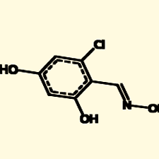 ON=Cc1c(O)cc(O)cc1Cl